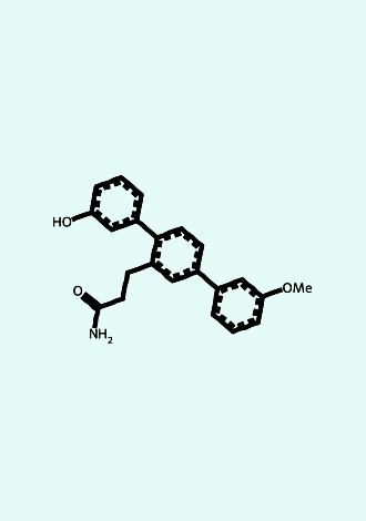 COc1cccc(-c2ccc(-c3cccc(O)c3)c(CCC(N)=O)c2)c1